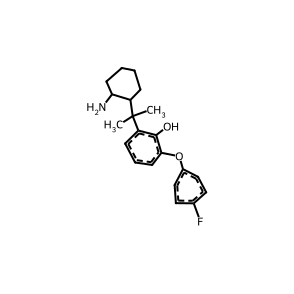 CC(C)(c1cccc(Oc2ccc(F)cc2)c1O)C1CCCCC1N